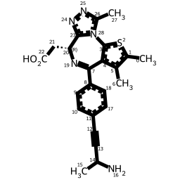 Cc1sc2c(c1C)C(c1ccc(C#CC(C)N)cc1)=N[C@H](CC(=O)O)c1nnc(C)n1-2